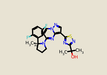 CC(C)(O)c1nsc(-c2cnn3ccc(N4CCC[C@]4(C)c4cc(F)ccc4F)nc23)n1